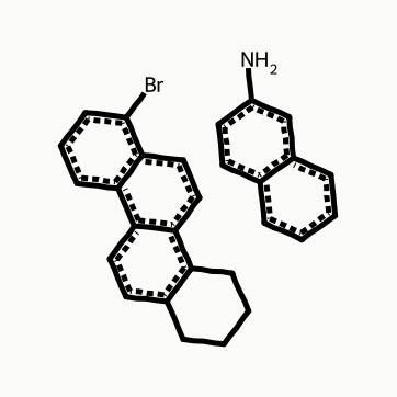 Brc1cccc2c1ccc1c3c(ccc12)CCCC3.Nc1ccc2ccccc2c1